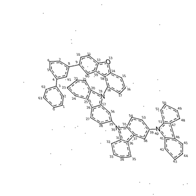 c1ccc(-c2cccc(-c3ccc4oc5cccc(-n6c7ccccc7c7ccc(-n8c9ccccc9c9cc(-n%10c%11ccccc%11c%11ccccc%11%10)ccc98)cc76)c5c4c3)c2)cc1